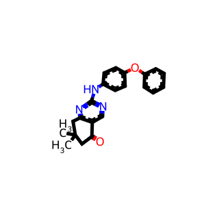 CC1(C)CC(=O)c2cnc(Nc3ccc(Oc4ccccc4)cc3)nc2C1